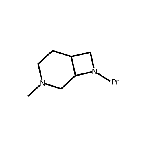 CC(C)N1CC2CCN(C)CC21